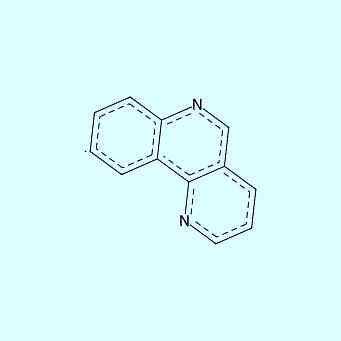 [c]1ccc2ncc3cccnc3c2c1